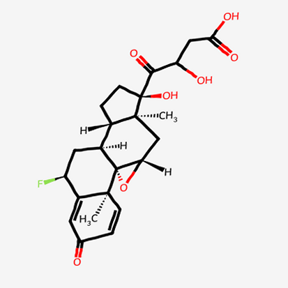 C[C@]12C=CC(=O)C=C1[C@@H](F)C[C@H]1[C@@H]3CC[C@](O)(C(=O)C(O)CC(=O)O)[C@@]3(C)C[C@@H]3O[C@@]312